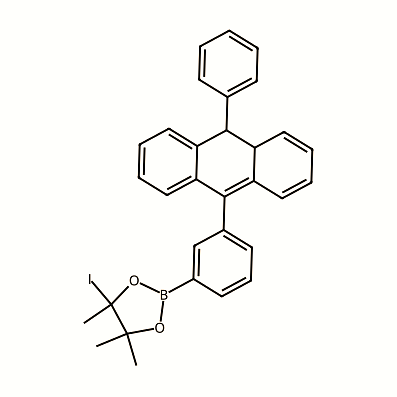 CC1(C)OB(c2cccc(C3=C4C=CC=CC4C(c4ccccc4)c4ccccc43)c2)OC1(C)I